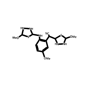 COc1ccc(NC2NNC(OC)S2)c(C(C#N)C2NNC(OC)S2)c1